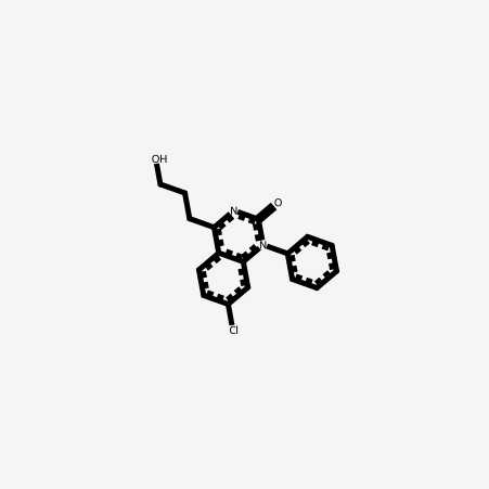 O=c1nc(CCCO)c2ccc(Cl)cc2n1-c1ccccc1